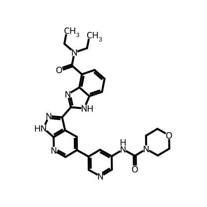 CCN(CC)C(=O)c1cccc2[nH]c(-c3n[nH]c4ncc(-c5cncc(NC(=O)N6CCOCC6)c5)cc34)nc12